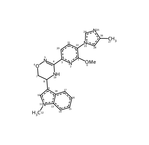 COc1nc(C2=NOCC(c3cn(C)c4ccccc34)N2)ccc1-n1cnc(C)c1